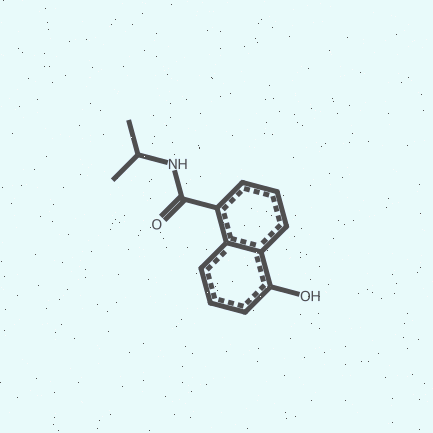 CC(C)NC(=O)c1cccc2c(O)cccc12